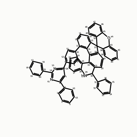 c1ccc(-c2cc(-c3ccc(-c4cccc5c4-c4c(ccc6c4-c4ccccc4NC6c4ccccc4)C54c5ccccc5Oc5ccccc54)cc3)nc(-c3ccccc3)n2)cc1